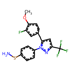 COc1ccc(-c2cc(C(F)(F)F)nn2-c2ccc(SN)cc2)cc1F